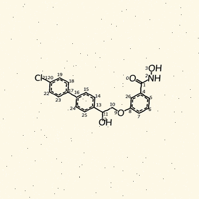 O=C(NO)c1cccc(OCC(O)c2ccc(-c3ccc(Cl)cc3)cc2)c1